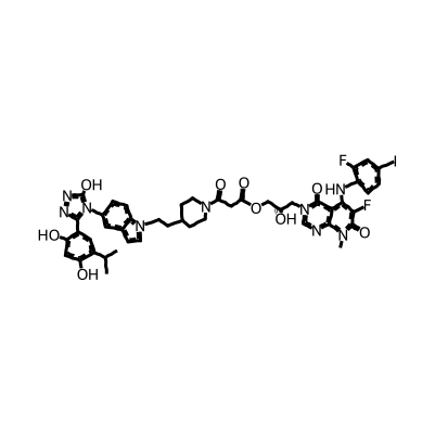 CC(C)c1cc(-c2nnc(O)n2-c2ccc3c(ccn3CCC3CCN(C(=O)CC(=O)OC[C@H](O)Cn4cnc5c(c(Nc6ccc(I)cc6F)c(F)c(=O)n5C)c4=O)CC3)c2)c(O)cc1O